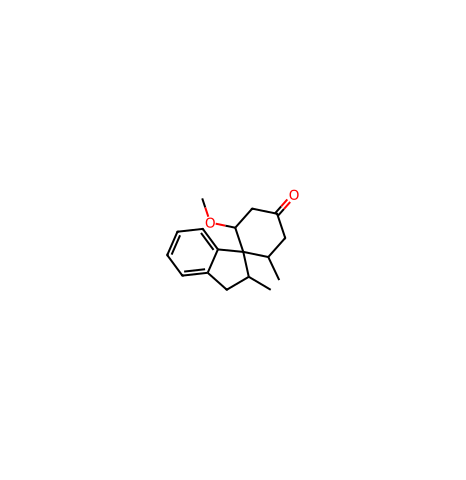 COC1CC(=O)CC(C)C12c1ccccc1CC2C